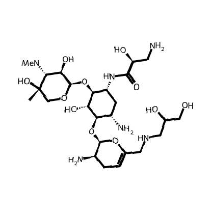 CN[C@@H]1[C@@H](O)[C@@H](O[C@@H]2[C@@H](O)[C@H](O[C@H]3OC(CNCC(O)CO)=CC[C@H]3N)[C@@H](N)C[C@H]2NC(=O)[C@@H](O)CN)OC[C@]1(C)O